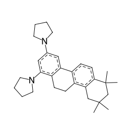 CC1(C)Cc2c(ccc3c2CCc2c-3cc(N3CCCC3)cc2N2CCCC2)C(C)(C)C1